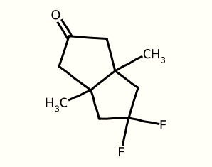 CC12CC(=O)CC1(C)CC(F)(F)C2